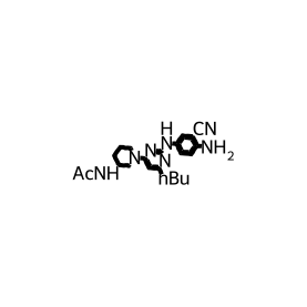 CCCCc1cc(N2CCCC(NC(C)=O)C2)nc(Nc2ccc(N)c(C#N)c2)n1